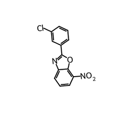 O=[N+]([O-])c1cccc2nc(-c3cccc(Cl)c3)oc12